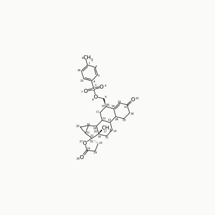 Cc1ccc(S(=O)(=O)OC[C@@H]2CC3C(CC[C@@]4(C)C3C3CC3[C@@]43CCC(=O)O3)C3CCC(=O)C=C32)cc1